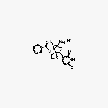 [N-]=[N+]=NC12O[C@@H](n3ccc(=O)[nH]c3=O)[C@@]3(CCS3)[C@@]1(OC(=O)c1ccccc1)C2I